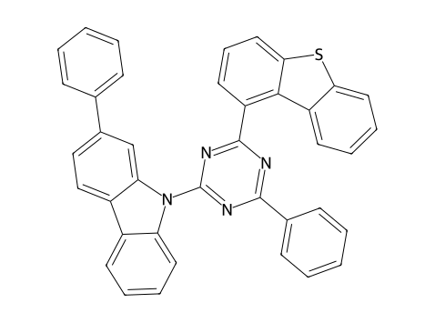 c1ccc(-c2ccc3c4ccccc4n(-c4nc(-c5ccccc5)nc(-c5cccc6sc7ccccc7c56)n4)c3c2)cc1